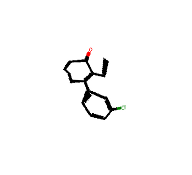 C=CC1=C(c2cccc(Cl)c2)CCCC1=O